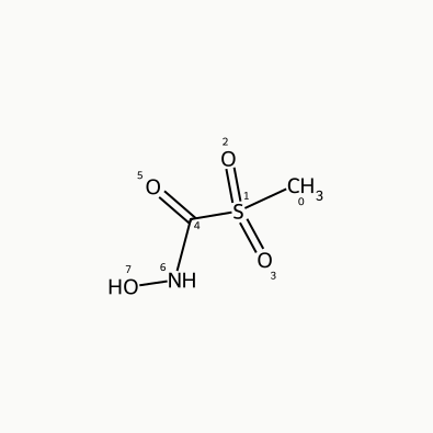 CS(=O)(=O)C(=O)NO